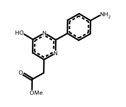 COC(=O)Cc1cc(O)nc(-c2ccc(N)cc2)n1